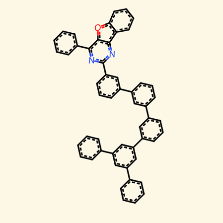 c1ccc(-c2cc(-c3ccccc3)cc(-c3cccc(-c4cccc(-c5cccc(-c6nc(-c7ccccc7)c7oc8ccccc8c7n6)c5)c4)c3)c2)cc1